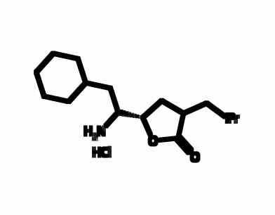 CC(C)CC1C[C@@H](C(N)CC2CCCCC2)OC1=O.Cl